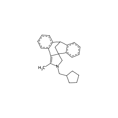 CC1=C2c3ccccc3C3CC2(CN1CC1CCCC1)c1ccccc13